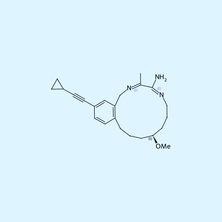 CO[C@@H]1CCC/N=C(N)\C(C)=N/Cc2cc(C#CC3CC3)ccc2CCC1